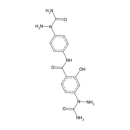 NC(=O)N(N)c1ccc(NC(=O)c2ccc(N(N)C(N)=O)cc2O)cc1